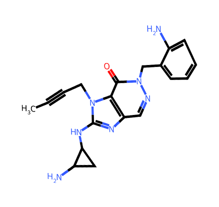 CC#CCn1c(NC2CC2N)nc2cnn(Cc3ccccc3N)c(=O)c21